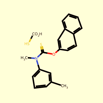 Cc1cccc(N(C)C(=S)Oc2ccc3ccccc3c2)c1.O=C(O)S